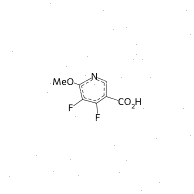 COc1ncc(C(=O)O)c(F)c1F